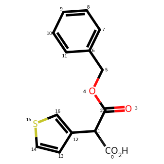 O=C(O)C(C(=O)OCc1ccccc1)c1ccsc1